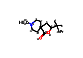 CCCC(C)(C)C1CC2(CCN(C(=O)O)CC2)C(=O)O1